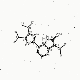 CC(C)c1nc(-c2cccc3c2[nH]c(=S)n3C(C)C)sc1C(C)C